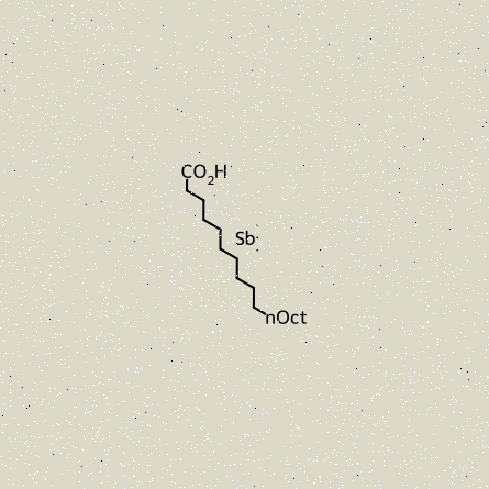 CCCCCCCCCCCCCCCCCC(=O)O.[Sb]